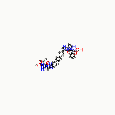 COC(=O)NC(C(=O)N1CCC[C@H]1c1nc2ccc(-c3ccc(-c4ccc(-c5cnc([C@@H]6CCCN6C(=O)C(NC(=O)O)c6ccccc6)[nH]5)cc4)cc3)cc2[nH]1)C(C)C